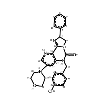 O=C1N2CC(c3ccccc3)N=C2c2ncc(N3CCOCC3)cc2N1Cc1ccc(Cl)cc1